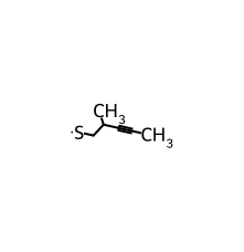 CC#CC(C)C[S]